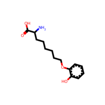 NC(CCCCCCOc1ccccc1O)C(=O)O